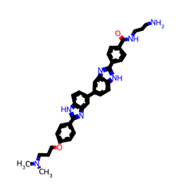 CN(C)CCCOc1ccc(-c2nc3cc(-c4ccc5[nH]c(-c6ccc(C(=O)NCCCN)cc6)nc5c4)ccc3[nH]2)cc1